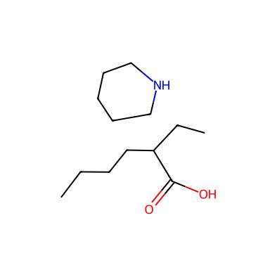 C1CCNCC1.CCCCC(CC)C(=O)O